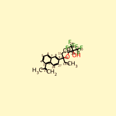 C=C(C)c1cccc2cc(C(CC)(CC)OCC(O)(C(F)(F)F)C(F)(F)F)ccc12